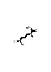 CCCC(=O)N(C)CCCN(CC)C(C)=O